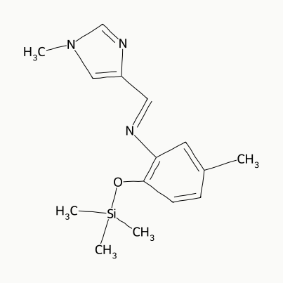 Cc1ccc(O[Si](C)(C)C)c(N=Cc2cn(C)cn2)c1